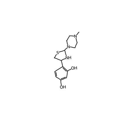 CN1CCN(C2NC(c3ccc(O)cc3O)CS2)CC1